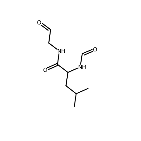 CC(C)CC(NC=O)C(=O)NCC=O